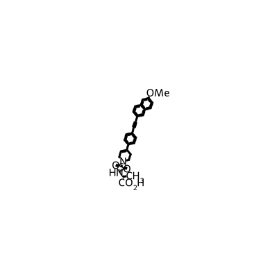 COc1ccc2cc(C#Cc3ccc(C4=CCN(S(=O)(=O)N[C@H](C)C(=O)O)CC4)cc3)ccc2c1